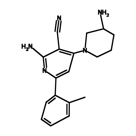 Cc1ccccc1-c1cc(N2CCCC(N)C2)c(C#N)c(N)n1